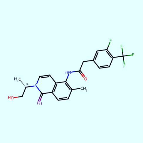 Cc1ccc2c(=P)n([C@@H](C)CO)ccc2c1NC(=O)Cc1ccc(C(F)(F)F)c(F)c1